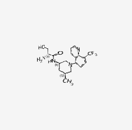 C[C@H]1C[C@@H](NC(=O)[C@H](N)CO)CN(c2ccc(C(F)(F)F)c3ncccc23)C1